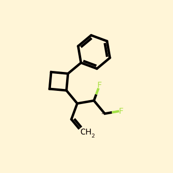 C=CC(C(F)[CH]F)C1CCC1c1ccccc1